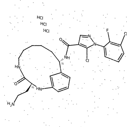 Cl.Cl.Cl.NCC[C@@H]1Nc2cccc(c2)[C@@H](NC(=O)c2cnn(-c3cccc(Cl)c3F)c2Cl)CCCCCNC1=O